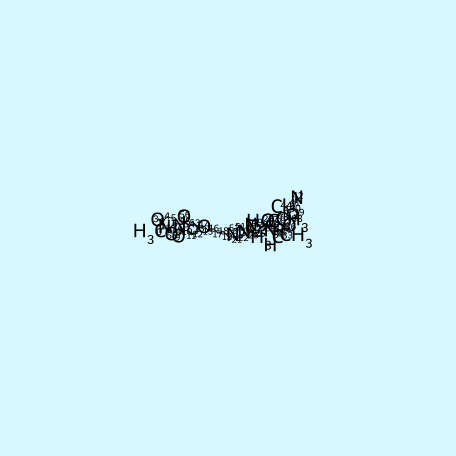 CN1C(=O)CCC(N2C(=O)c3ccc(OCCCCCN4CCN(c5ccc(C(=O)N[C@H]6C(C)(C)[C@H](Oc7ccc(C#N)c(Cl)c7)C6(C)C)cn5)CC4)cc3C2=O)C1=O